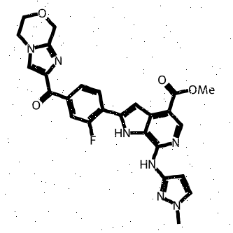 COC(=O)c1cnc(Nc2ccn(C)n2)c2[nH]c(-c3ccc(C(=O)c4cn5c(n4)COCC5)cc3F)cc12